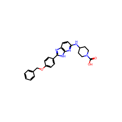 O=C(O)N1CCC(Nc2ccc3nc(-c4ccc(OCc5ccccc5)cc4)[nH]c3n2)CC1